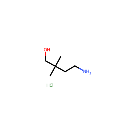 CC(C)(CO)CCN.Cl